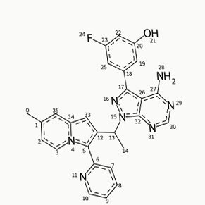 Cc1ccn2c(-c3ccccn3)c(C(C)n3nc(-c4cc(O)cc(F)c4)c4c(N)ncnc43)cc2c1